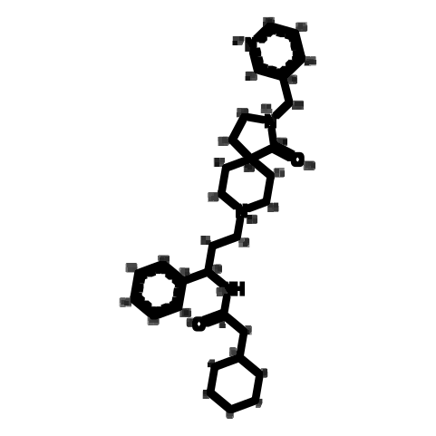 O=C(CC1CCCCC1)NC(CCN1CCC2(CC1)CCN(Cc1cccnc1)C2=O)c1ccccc1